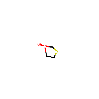 [O-][O+]1CCSC1